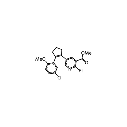 CCc1ncc(C2=C(c3cc(Cl)ccc3OC)CCC2)cc1C(=O)OC